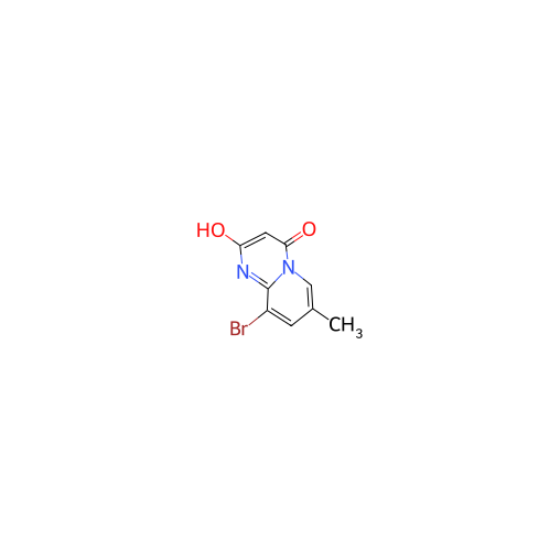 Cc1cc(Br)c2nc(O)cc(=O)n2c1